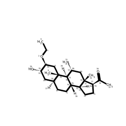 CCO[C@H]1C[C@@]2(C)[C@@H](CC[C@@H]3[C@@H]2[C@H](N)C[C@]2(C)[C@@H](C(C)=O)CC[C@@H]32)C[C@@H]1O